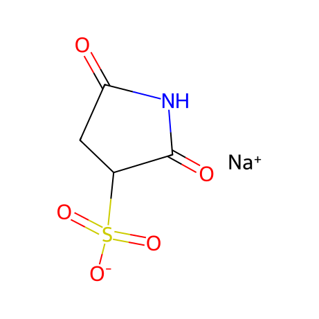 O=C1CC(S(=O)(=O)[O-])C(=O)N1.[Na+]